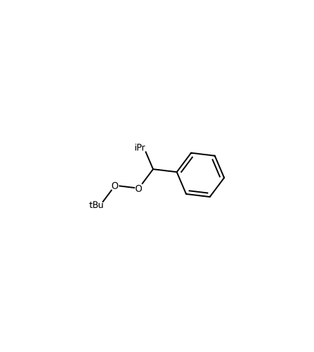 CC(C)C(OOC(C)(C)C)c1ccccc1